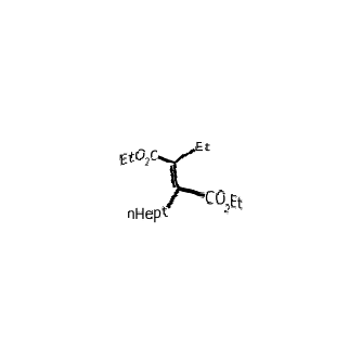 CCCCCCCC(C(=O)OCC)=C(CC)C(=O)OCC